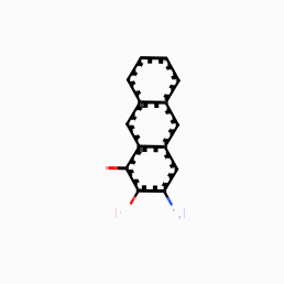 Nc1cc2cc3ccccc3cc2c(O)c1O